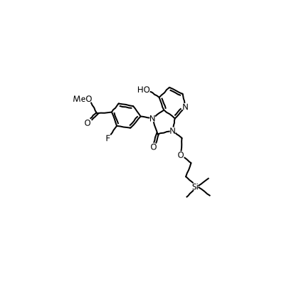 COC(=O)c1ccc(-n2c(=O)n(COCC[Si](C)(C)C)c3nccc(O)c32)cc1F